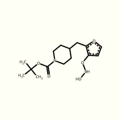 CC(C)(C)OC(=O)N1CCC(Cc2occc2OBO)CC1